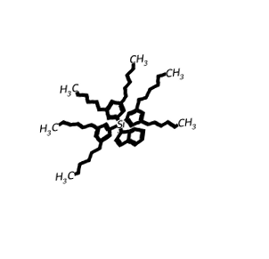 CCCCCCc1cc(CCCCCC)cc([Si]([C]2C=Cc3ccccc32)(c2cc(CCCCCC)cc(CCCCCC)c2)c2cc(CCCCCC)cc(CCCCCC)c2)c1